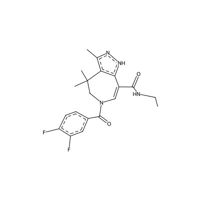 CCNC(=O)C1=CN(C(=O)c2ccc(F)c(F)c2)CC(C)(C)c2c(C)n[nH]c21